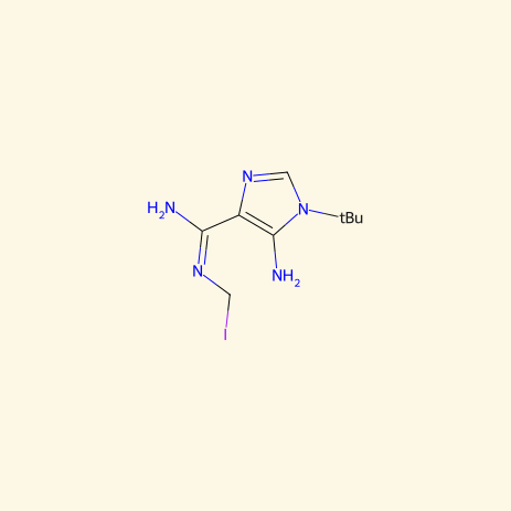 CC(C)(C)n1cnc(/C(N)=N\CI)c1N